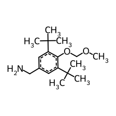 COCOc1c(C(C)(C)C)cc(CN)cc1C(C)(C)C